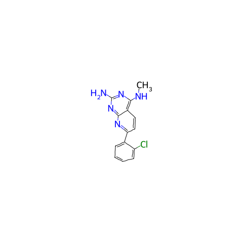 CNc1nc(N)nc2nc(-c3ccccc3Cl)ccc12